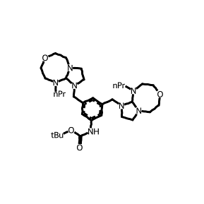 CCCN1CCOCCN2CCN(Cc3cc(CN4CCN5CCOCCN(CCC)C54)cc(NC(=O)OC(C)(C)C)c3)C12